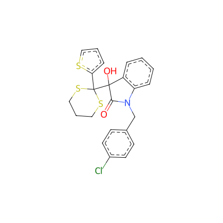 O=C1N(Cc2ccc(Cl)cc2)c2ccccc2C1(O)C1(c2cccs2)SCCCS1